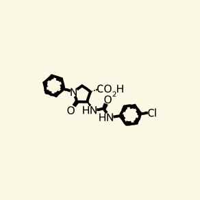 O=C(Nc1ccc(Cl)cc1)N[C@H]1C(=O)N(c2ccccc2)C[C@@H]1C(=O)O